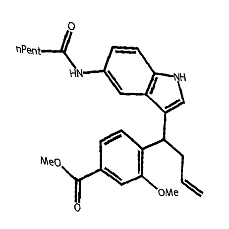 C=CCC(c1ccc(C(=O)OC)cc1OC)c1c[nH]c2ccc(NC(=O)CCCCC)cc12